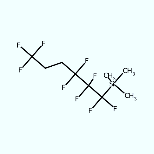 C[Si](C)(C)C(F)(F)C(F)(F)C(F)(F)CCC(F)(F)F